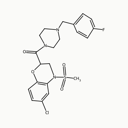 CS(=O)(=O)N1CC(C(=O)N2CCN(Cc3ccc(F)cc3)CC2)Oc2ccc(Cl)cc21